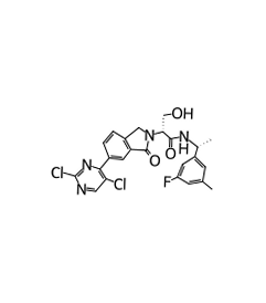 Cc1cc(F)cc([C@@H](C)NC(=O)[C@@H](CO)N2Cc3ccc(-c4nc(Cl)ncc4Cl)cc3C2=O)c1